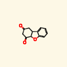 O=C1CC(=O)C2Oc3ccccc3C2C1